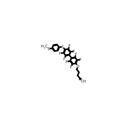 C#CCCCOc1c(F)c(F)c(-c2c(F)c(F)c(Sc3ccc(SC)cc3)c(F)c2F)c(F)c1F